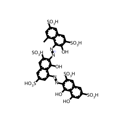 Cc1cc(S(=O)(=O)O)cc2cc(S(=O)(=O)O)c(O)c(/N=N/c3c(S(=O)(=O)O)cc4cc(S(=O)(=O)O)cc(N=Nc5c(S(=O)(=O)O)cc6cc(S(=O)(=O)O)cc(O)c6c5O)c4c3O)c12